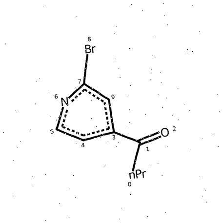 CCCC(=O)c1ccnc(Br)c1